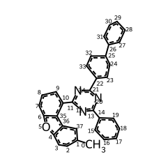 Cc1ccc2oc3cccc(-c4nc(-c5ccccc5)nc(-c5ccc(-c6ccccc6)cc5)n4)c3c2c1